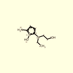 CCN(CCO)c1ccc(N)n1O